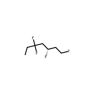 [CH2]CC(F)(F)C[C@@H](F)CCF